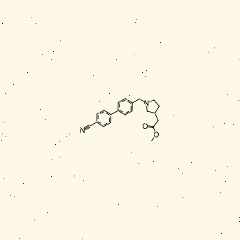 COC(=O)CC1CCN(Cc2ccc(-c3ccc(C#N)cc3)cc2)C1